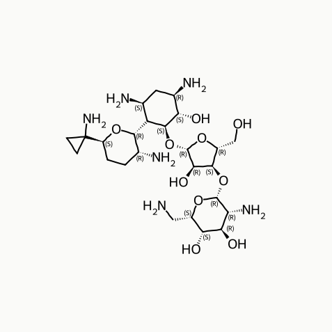 NC[C@@H]1O[C@H](O[C@H]2[C@@H](O)[C@H](O[C@H]3C([C@H]4O[C@H](C5(N)CC5)CC[C@H]4N)[C@@H](N)C[C@@H](N)[C@@H]3O)O[C@@H]2CO)[C@H](N)[C@@H](O)[C@@H]1O